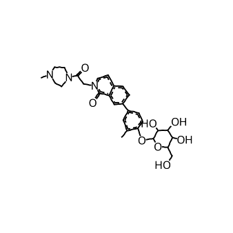 Cc1cc(-c2ccc3ccn(CC(=O)N4CCN(C)CC4)c(=O)c3c2)ccc1OC1OC(CO)C(O)C(O)C1O